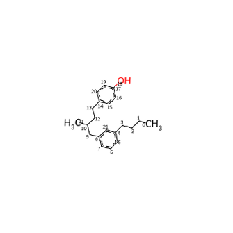 CCCCc1cccc(CC(C)CCc2ccc(O)cc2)c1